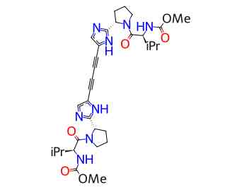 COC(=O)N[C@H](C(=O)N1CCC[C@H]1c1ncc(C#CC#Cc2cnc([C@@H]3CCCN3C(=O)[C@@H](NC(=O)OC)C(C)C)[nH]2)[nH]1)C(C)C